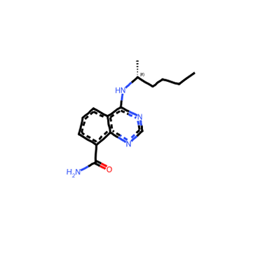 CCCC[C@@H](C)Nc1ncnc2c(C(N)=O)cccc12